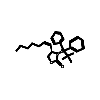 CCCCC/C=C\[C@@H]1COC(=O)N1[Si](c1ccccc1)(c1ccccc1)C(C)(C)C